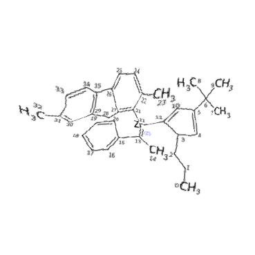 CCCC1C=C(C(C)(C)C)C=[C]1/[Zr](=[C](\C)c1ccccc1)[c]1c(C)ccc2c1Cc1cc(C)ccc1-2